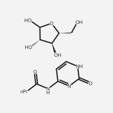 CCCC(=O)Nc1cc[nH]c(=O)n1.OC[C@H]1OC(O)[C@@H](O)[C@@H]1O